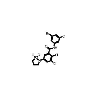 O=C(Nc1cc(Cl)cc(Br)c1)c1cc(N2CCCS2(=O)=O)cc(Cl)c1Cl